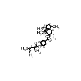 CC(C)CC(N)C(=O)Oc1ccc(C(=O)O[C@]2(C)CC[C@@]34C[C@@H]2C(C)(C)[C@@H]3CC[C@H]4C)cc1